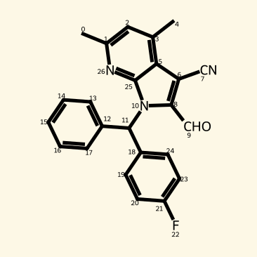 Cc1cc(C)c2c(C#N)c(C=O)n(C(c3ccccc3)c3ccc(F)cc3)c2n1